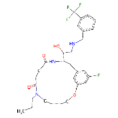 CCCN1CCCCOc2cc(F)cc(c2)CC(C(O)CNCc2cccc(C(F)(F)F)c2)NC(=O)CCC1=O